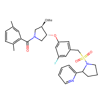 CO[C@@H]1CN(C(=O)c2cc(C)ccc2C)C[C@H]1Oc1cc(F)cc(CS(=O)(=O)N2CCCC2c2ccccn2)c1